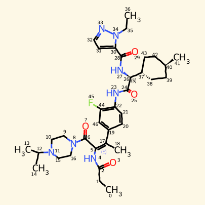 CCC(=O)N/C(C(=O)N1CCN(C(C)C)CC1)=C(\C)c1ccc(NC(=O)[C@@H](NC(=O)c2ccnn2CC)[C@H]2CC[C@H](C)CC2)c(F)c1